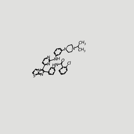 CC(C)N1CCN(c2cccc(Nc3nccc(-c4c(-c5cccc(NC(=O)c6ccccc6Cl)c5)nc5sccn45)n3)c2)CC1